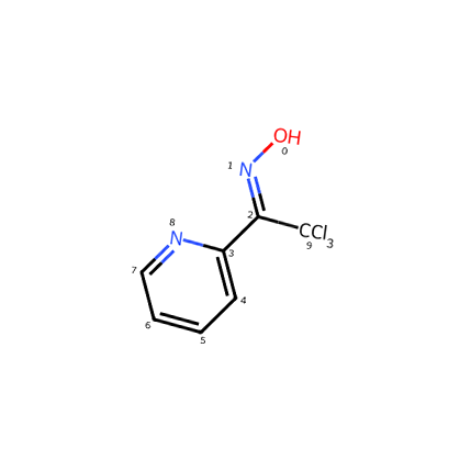 ON=C(c1ccccn1)C(Cl)(Cl)Cl